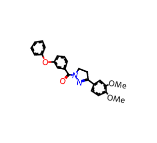 COc1ccc(C2=NN(C(=O)c3cccc(Oc4ccccc4)c3)CC2)cc1OC